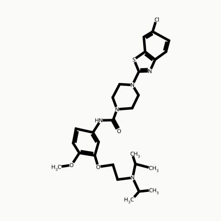 COc1ccc(NC(=O)N2CCN(c3nc4ccc(Cl)cc4s3)CC2)cc1OCCN(C(C)C)C(C)C